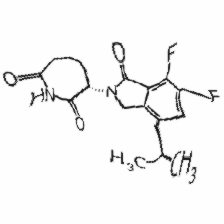 CC(C)c1cc(F)c(F)c2c1CN([C@H]1CCC(=O)NC1=O)C2=O